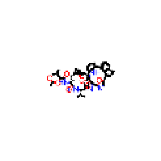 CC(=O)O[C@H](C(=O)NC1Cc2ccc3c(c2)C24c5cccc(c5N[C@H]2O3)-c2cccc3c2C(=CC3)c2cnc(o2)-c2nc(oc24)[C@H](C(C)C)NC1=O)C(C)C